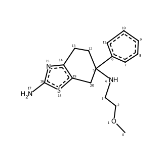 COCCNC1(c2ccccc2)CCc2nc(N)sc2C1